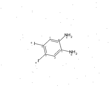 Nc1cc(I)c(I)cc1N